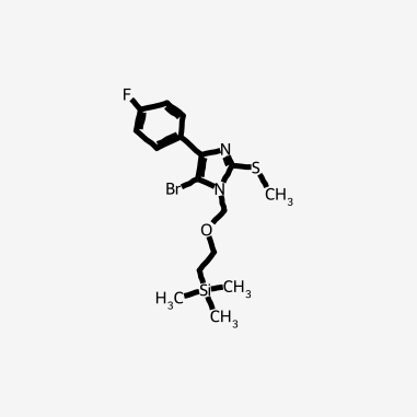 CSc1nc(-c2ccc(F)cc2)c(Br)n1COCC[Si](C)(C)C